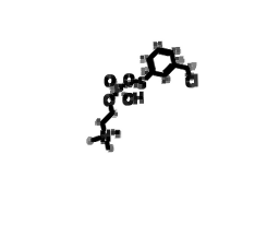 C[N+](C)(C)CCOP(=O)(O)OSc1cccc(CCl)c1